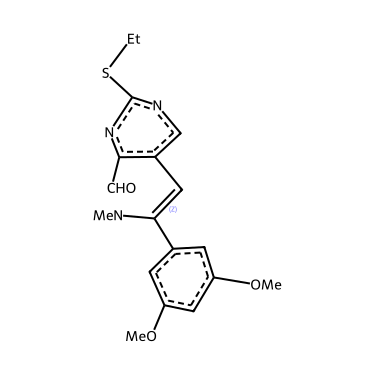 CCSc1ncc(/C=C(\NC)c2cc(OC)cc(OC)c2)c(C=O)n1